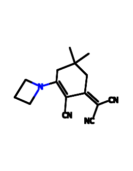 CC1(C)CC(=C(C#N)C#N)C(C#N)=C(N2CCC2)C1